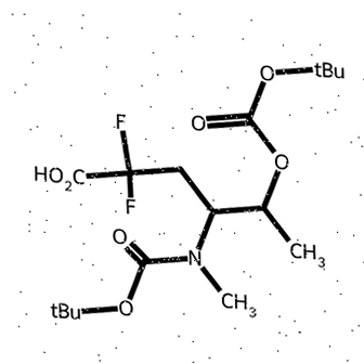 CC(OC(=O)OC(C)(C)C)C(CC(F)(F)C(=O)O)N(C)C(=O)OC(C)(C)C